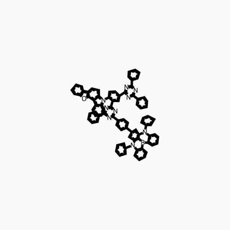 c1ccc(-c2nc(-c3ccccc3)nc(-c3ccc(-n4c5ccccc5c5c6oc7ccccc7c6ccc54)c(-c4nc(-c5ccccc5)nc(-c5ccc(-c6cc7c8c(c6)N(c6ccccc6)c6ccccc6B8c6ccccc6N7c6ccccc6)cc5)n4)c3)n2)cc1